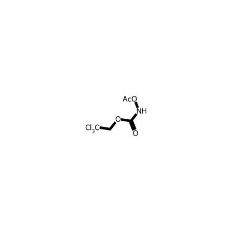 CC(=O)ONC(=O)OCC(Cl)(Cl)Cl